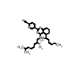 CC/C=C\C=C(/C)C1=c2c(NC/C(C)=C/C=C\C=C(C)C)nc(-c3ccc(C#N)nc3)nc2=CCC1